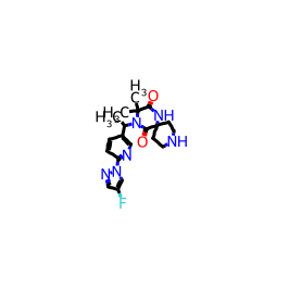 CC(c1ccc(-n2cc(F)cn2)nc1)N1C(=O)C2(CCNCC2)NC(=O)C1(C)C